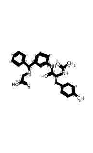 CC(=O)N[C@@H](Cc1ccc(O)cc1)C(=O)Nc1cccc(C(OCC(=O)O)c2ccccc2)c1